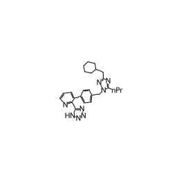 CCCc1nc(CC2CCCCC2)nn1Cc1ccc(-c2cccnc2-c2nnn[nH]2)cc1